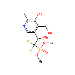 CCOP(=O)(OCC)C(F)(F)C(O)c1cnc(C)c(O)c1CO